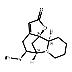 CC(C)SC1CC2=CC(=O)O[C@@]23C[C@@H]1N1CCCC[C@@H]13